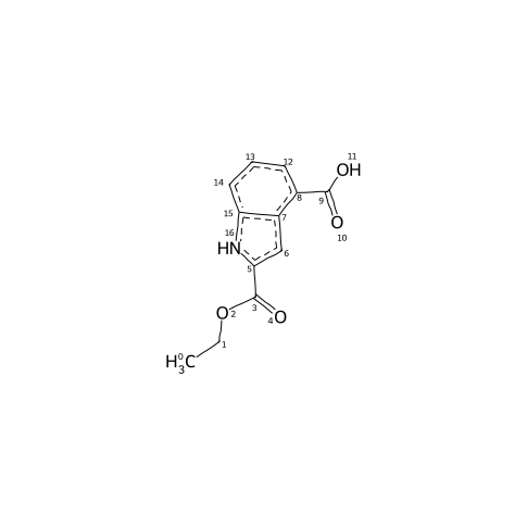 CCOC(=O)c1cc2c(C(=O)O)cccc2[nH]1